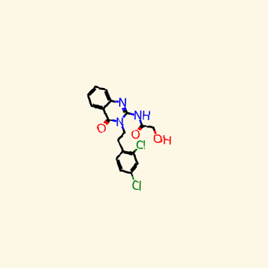 O=C(CO)Nc1nc2ccccc2c(=O)n1CCc1ccc(Cl)cc1Cl